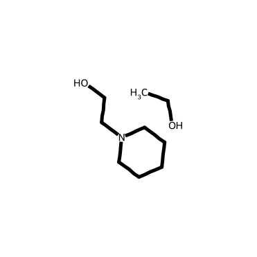 CCO.OCCN1CCCCC1